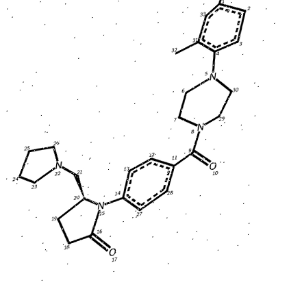 Cc1ccc(N2CCN(C(=O)c3ccc(N4C(=O)CC[C@H]4CN4CCCC4)cc3)CC2)c(C)c1